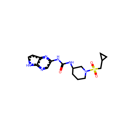 O=C(Nc1cnc2[nH]ccc2n1)NC1CCCN(S(=O)(=O)CC2CC2)C1